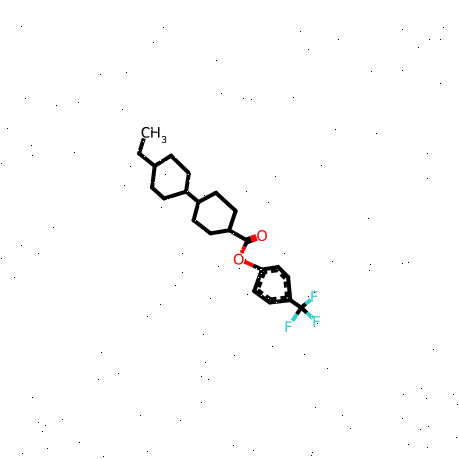 CCC1CCC(C2CCC(C(=O)Oc3ccc(C(F)(F)F)cc3)CC2)CC1